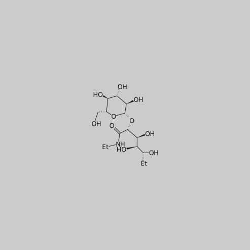 CCNC(=O)[C@H](O[C@@H]1O[C@H](CO)[C@@H](O)[C@H](O)[C@H]1O)[C@@H](O)[C@H](O)[C@H](O)CC